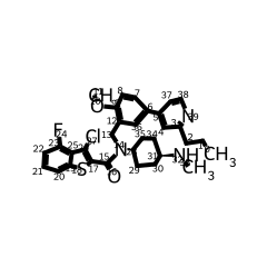 CCCc1cc(-c2ccc(OC)c(CN(C(=O)c3sc4cccc(F)c4c3Cl)[C@H]3CC[C@H](NC)CC3)c2)ccn1